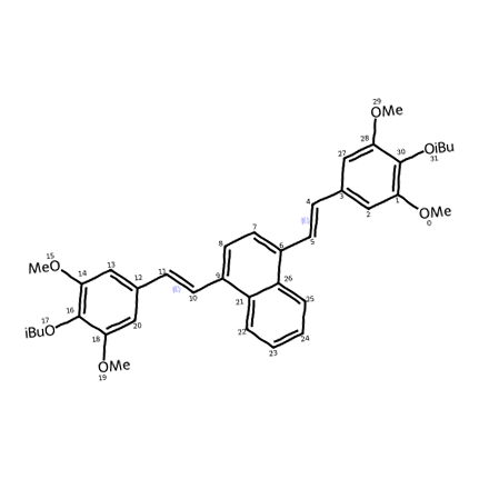 COc1cc(/C=C/c2ccc(/C=C/c3cc(OC)c(OCC(C)C)c(OC)c3)c3ccccc23)cc(OC)c1OCC(C)C